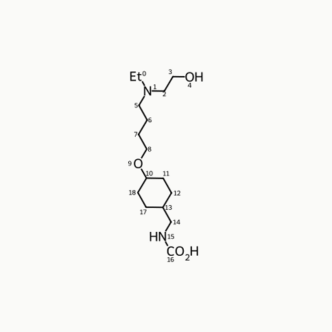 CCN(CCO)CCCCOC1CCC(CNC(=O)O)CC1